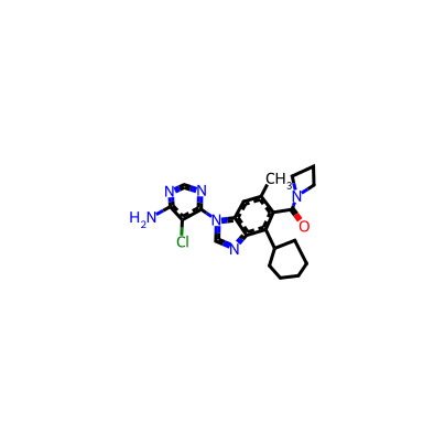 Cc1cc2c(ncn2-c2ncnc(N)c2Cl)c(C2CCCCC2)c1C(=O)N1CCC1